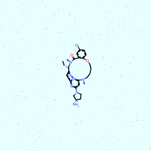 CC[C@H]1c2cc3nc(N4CC[C@H](N)C4)cc(n3n2)N(C)CCCCOc2ccc(Cl)cc2C(=O)N1C